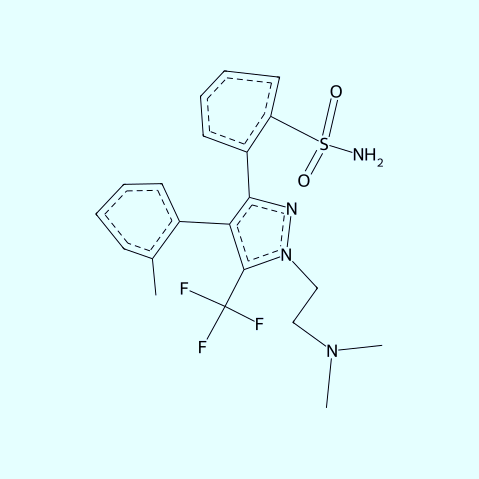 Cc1ccccc1-c1c(-c2ccccc2S(N)(=O)=O)nn(CCN(C)C)c1C(F)(F)F